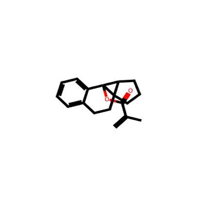 C=C(C)C(=O)OC12c3ccccc3CCC13CCCC32